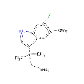 COc1cc2c(C(C)(C)CNC(C)=O)c[nH]c2cc1F